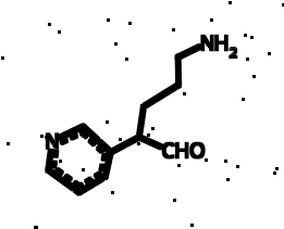 NCCCC(C=O)c1cccnc1